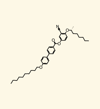 CCCCCCCCCCOc1ccc(-c2ccc(C(=O)Oc3ccc(O[C@H](C)CCCCCC)c(C#N)c3)cc2)cc1